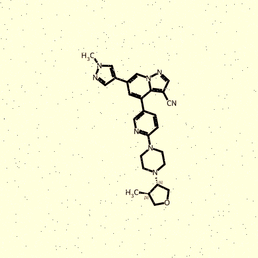 C[C@@H]1COC[C@H]1N1CCN(c2ccc(-c3cc(-c4cnn(C)c4)cn4ncc(C#N)c34)cn2)CC1